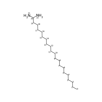 CCCCCCCCCCCCCCCCCCCCC(N)N